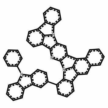 c1ccc(-n2c3ccccc3c3cc(-c4cccc5c6cc7ccccc7c7c8cc9c(nc8n(c45)c67)c4cccc5c6ccccc6n9c54)ccc32)cc1